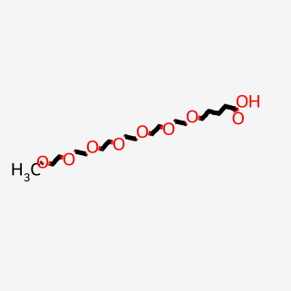 COCCOCCOCCOCCOCCOCCOCCCCC(=O)O